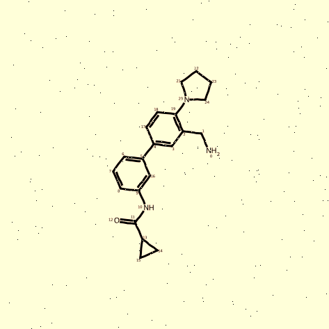 NCc1cc(-c2cccc(NC(=O)C3CC3)c2)ccc1N1CCCC1